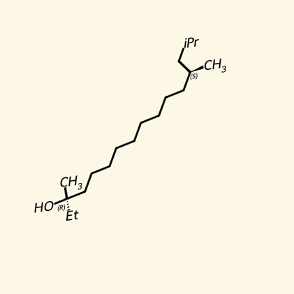 CC[C@@](C)(O)CCCCCCCCC[C@H](C)CC(C)C